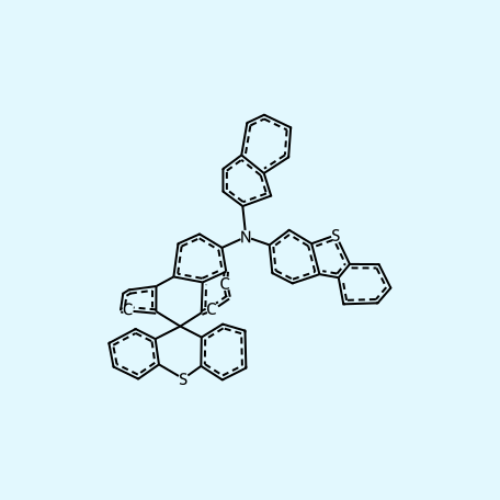 c1ccc2c(c1)Sc1ccccc1C21c2ccccc2-c2ccc(N(c3ccc4ccccc4c3)c3ccc4c(c3)sc3ccccc34)c3cccc1c23